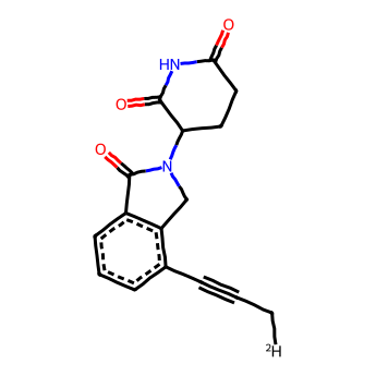 [2H]CC#Cc1cccc2c1CN(C1CCC(=O)NC1=O)C2=O